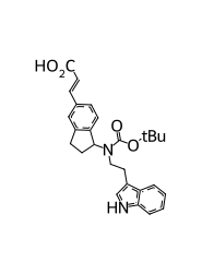 CC(C)(C)OC(=O)N(CCc1c[nH]c2ccccc12)C1CCc2cc(/C=C/C(=O)O)ccc21